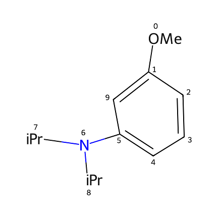 COc1cccc(N(C(C)C)C(C)C)c1